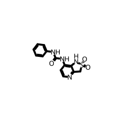 O=C(Nc1ccccc1)Nc1ccnc2c1NS(=O)(=O)C2